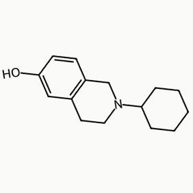 Oc1ccc2c(c1)CCN(C1CCCCC1)C2